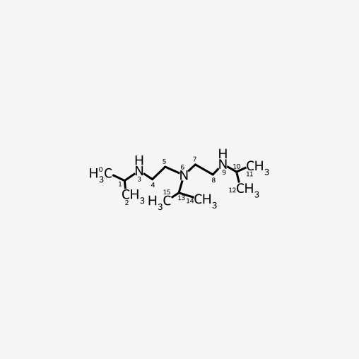 CC(C)NCCN(CCNC(C)C)C(C)C